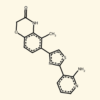 Cc1c(-c2csc(-c3cccnc3N)n2)ccc2c1NC(=O)CO2